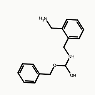 NCc1ccccc1CNC(O)OCc1ccccc1